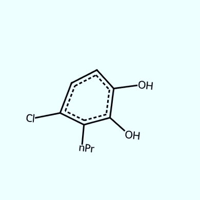 CCCc1c(Cl)ccc(O)c1O